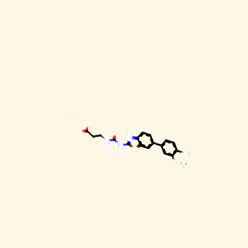 COc1cc(-c2ccc3nc(NC(=O)NCCC(=O)OC(C)(C)C)sc3c2)ccc1C